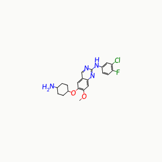 COc1cc2nc(Nc3ccc(F)c(Cl)c3)ncc2cc1OC1CCC(N)CC1